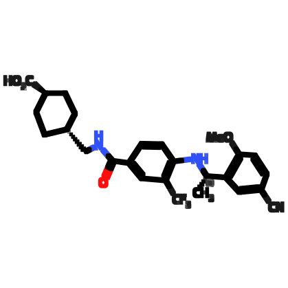 COc1ccc(C#N)cc1[C@H](C)Nc1ccc(C(=O)NC[C@H]2CC[C@H](C(=O)O)CC2)cc1C(F)(F)F